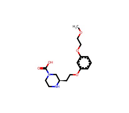 COCCOc1cccc(OCC[C@@H]2CN(C(=O)O)CCN2)c1